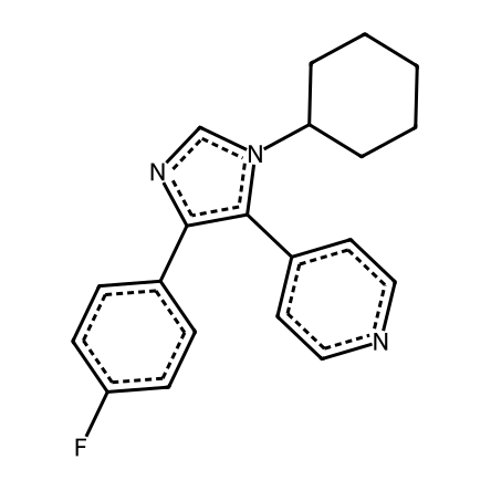 Fc1ccc(-c2ncn(C3CCCCC3)c2-c2ccncc2)cc1